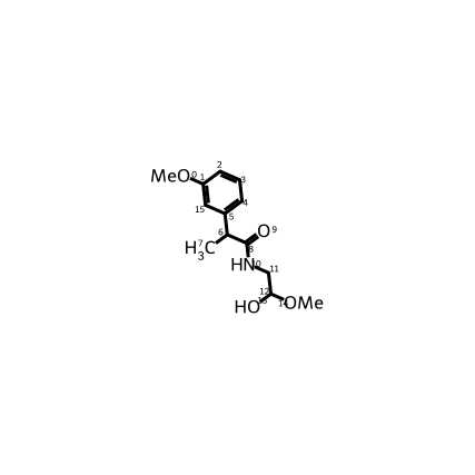 COc1cccc(C(C)C(=O)NCC(O)OC)c1